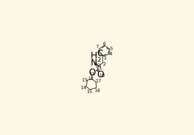 N[C@@H](Cc1ccccc1)C(=O)OC1CCCCC1